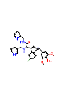 COc1cc(/C=C2/C(C)=C(C(NCc3cccnc3)C(=O)NCc3ccccn3)c3cc(F)ccc32)cc(OC)c1O